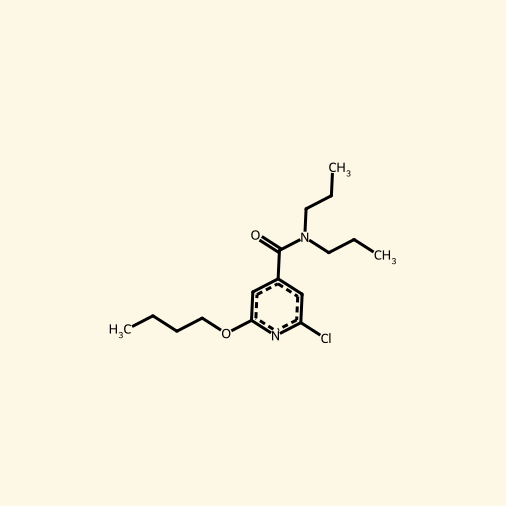 CCCCOc1cc(C(=O)N(CCC)CCC)cc(Cl)n1